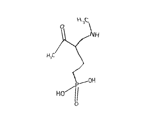 CNC(CCP(=O)(O)O)C(C)=O